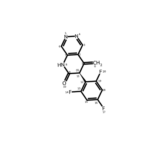 C=C1c2cnncc2NC(=O)[C@@H]1c1c(F)cc(F)cc1F